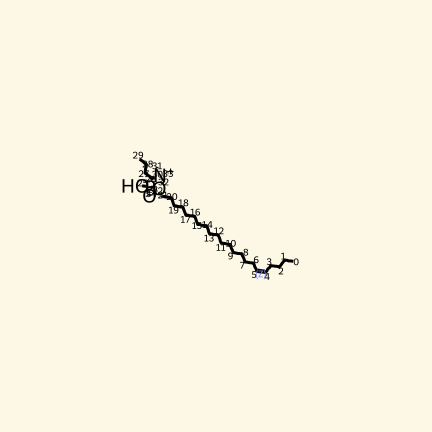 CCCC/C=C\CCCCCCCCCCCCCCCCOP(=O)(O)C(CCC)[N+](C)(C)C